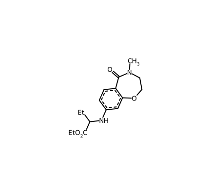 CCOC(=O)C(CC)Nc1ccc2c(c1)OCCN(C)C2=O